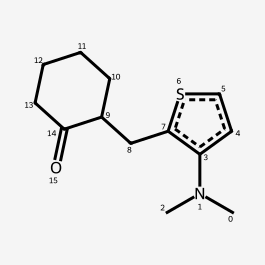 CN(C)c1ccsc1CC1CCCCC1=O